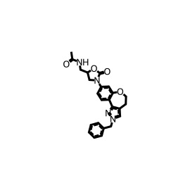 CC(=O)NCC1CN(c2ccc3c(c2)OCCc2cn(Cc4ccccc4)nc2-3)C(=O)O1